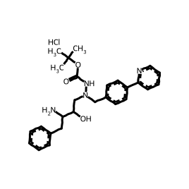 CC(C)(C)OC(=O)NN(Cc1ccc(-c2ccccn2)cc1)CC(O)C(N)Cc1ccccc1.Cl